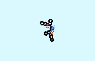 c1ccc2cc3c(cc2c1)oc1c(-c2cc(-c4cc5ccccc5c5c4oc4cc6ccccc6cc45)ncn2)cc2ccccc2c13